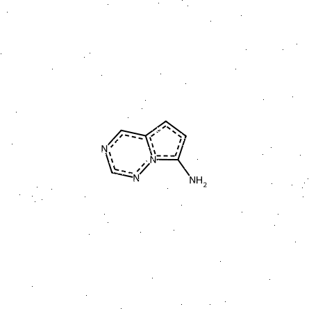 Nc1ccc2cncnn12